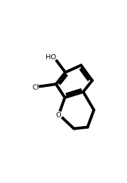 Oc1ccc2c(c1Cl)OCCC2